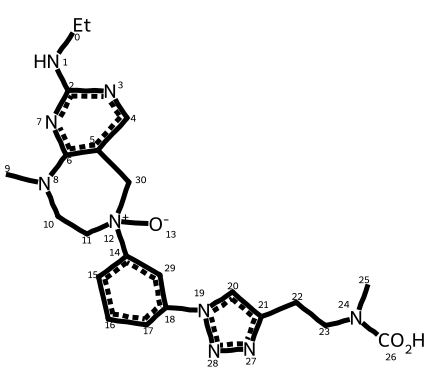 CCNc1ncc2c(n1)N(C)CC[N+]([O-])(c1cccc(-n3cc(CCN(C)C(=O)O)nn3)c1)C2